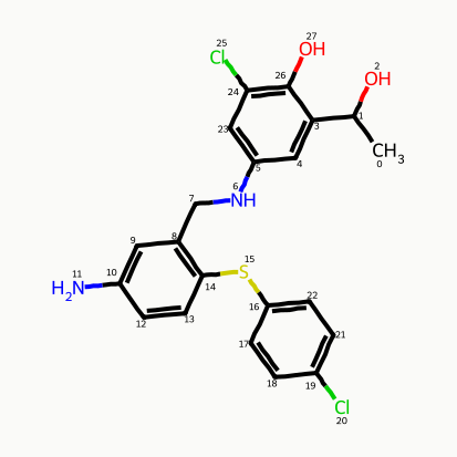 CC(O)c1cc(NCc2cc(N)ccc2Sc2ccc(Cl)cc2)cc(Cl)c1O